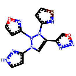 [C]1=C(c2conn2)N(c2ccsn2)N(c2ccon2)N1c1cc[nH]n1